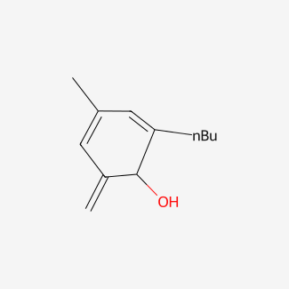 C=C1C=C(C)C=C(CCCC)C1O